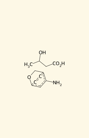 CC(O)CC(=O)O.Nc1cc2ccc1CO2